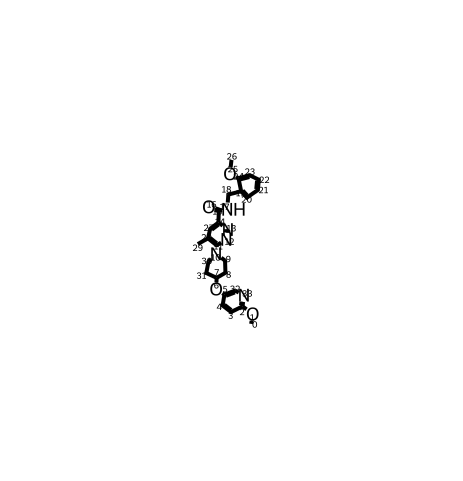 COc1ccc(OC2CCN(c3nnc(C(=O)NCc4ccccc4OC)cc3C)CC2)cn1